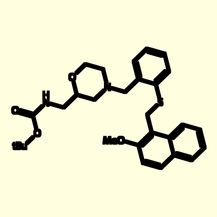 COc1ccc2ccccc2c1CSc1ccccc1CN1CCOC(CNC(=O)OC(C)(C)C)C1